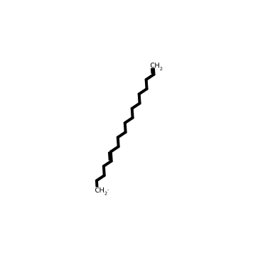 [CH2]CCCC=CCCCCCCCCCCC=C